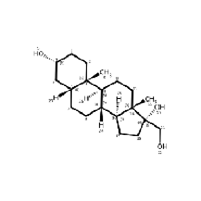 C[C@]12CC[C@@H](O)C[C@H]1CC[C@@H]1[C@@H]2CC[C@@]2(C)[C@H]1CC[C@]2(O)CO